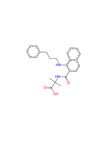 CC(C)(NC(=O)c1ccc2ccccc2c1NCCCc1ccccc1)C(=O)O